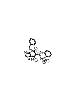 O=c1c(C2=NS(=O)(=O)c3ccccc3N2)c(O)c2scnc2n1Cc1ccccc1